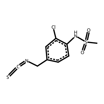 CS(=O)(=O)Nc1ccc(CN=C=S)cc1Cl